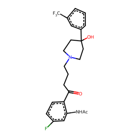 CC(=O)Nc1cc(F)ccc1C(=O)CCCN1CCC(O)(c2cccc(C(F)(F)F)c2)CC1